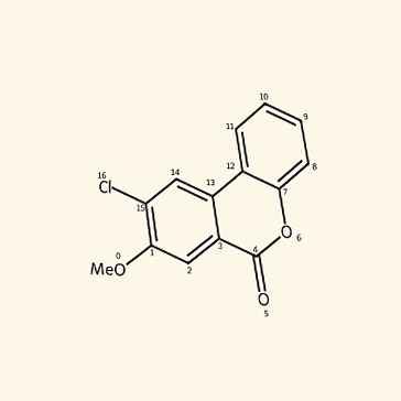 COc1cc2c(=O)oc3ccccc3c2cc1Cl